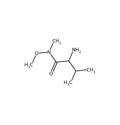 CON(C)C(=O)C(N)C(C)C